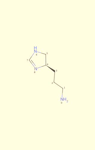 NCCC[C@@H]1CNC=N1